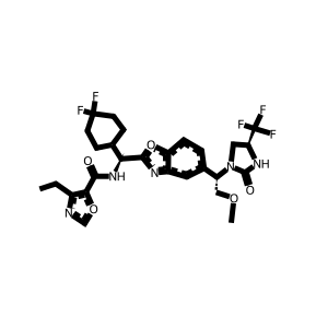 CCc1ncoc1C(=O)N[C@H](c1nc2cc([C@@H](COC)N3C[C@@H](C(F)(F)F)NC3=O)ccc2o1)C1CCC(F)(F)CC1